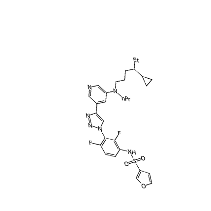 CCCN(CCCC(CC)C1CC1)c1cncc(-c2cn(-c3c(F)ccc(NS(=O)(=O)c4ccoc4)c3F)nn2)c1